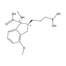 CN[C@@]1(C(=O)O)c2cccc(OC)c2C[C@@H]1CCCB(O)O